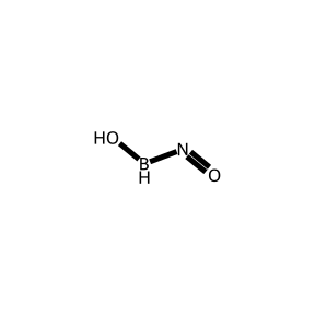 O=NBO